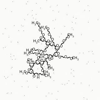 COCCNCC(=O)N(CCOC)CC(=O)N(CCOC)CC(=O)N(CCOC)CC(=O)N(CCOC)CC(=O)N(CCOC)CC(=O)N(CCOCCOCCOC)CC(=O)N(CCOCCOCCOC)CC(=O)N(CCOCCOCCOC)CC(=O)N(CCOCCOCCOC)CC(=O)N(CCOCCOCCOC)CC(=O)N(CCOCCOCCOC)CC(C)=O